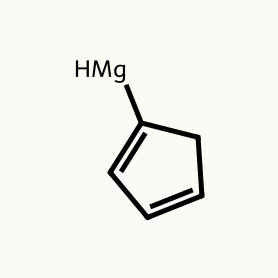 [MgH][C]1=CC=CC1